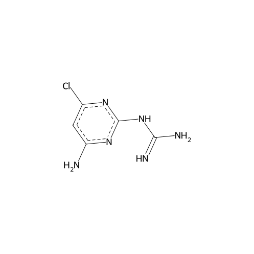 N=C(N)Nc1nc(N)cc(Cl)n1